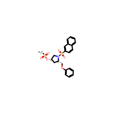 CS(=O)(=O)O[C@H]1C[C@@H](COc2ccccc2)N(S(=O)(=O)c2ccc3ccccc3c2)C1